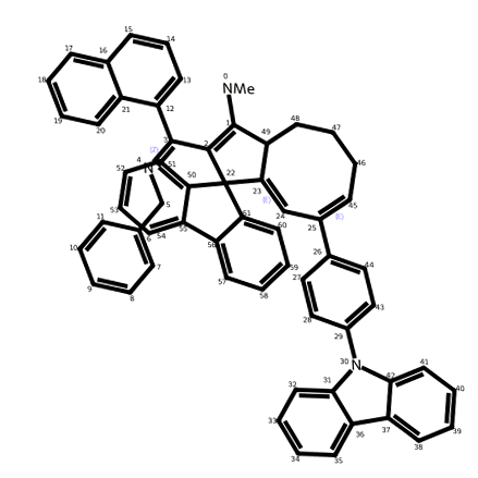 CNC1=C(/C(=N\Cc2ccccc2)c2cccc3ccccc23)C2(/C3=C/C(c4ccc(-n5c6ccccc6c6ccccc65)cc4)=C\CCCC13)c1ccccc1-c1ccccc12